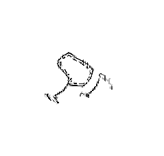 Oc1ccccc1.[CH3][Na]